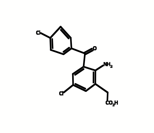 Nc1c(CC(=O)O)cc(Cl)cc1C(=O)c1ccc(Cl)cc1